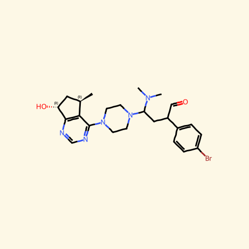 C[C@@H]1C[C@@H](O)c2ncnc(N3CCN(C(CC(C=O)c4ccc(Br)cc4)N(C)C)CC3)c21